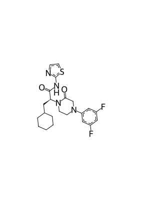 O=C(Nc1nccs1)[C@H](CC1CCCCC1)N1CCN(c2cc(F)cc(F)c2)CC1=O